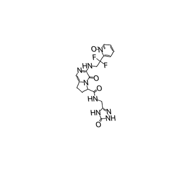 O=C(NCc1n[nH]c(=O)[nH]1)C1CCc2cnc(NCC(F)(F)c3cccc[n+]3[O-])c(=O)n21